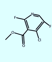 COC(=O)c1c(F)ncc(F)c1Cl